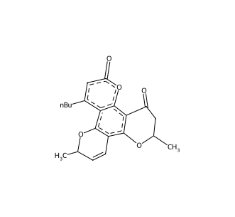 CCCCc1cc(=O)oc2c3c(c4c(c12)OC(C)C=C4)OC(C)CC3=O